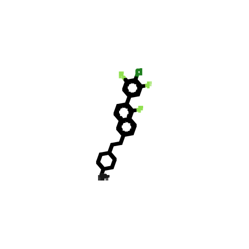 CCCC1CCC(CCc2ccc3c(F)c(-c4cc(F)c(Cl)c(F)c4)ccc3c2)CC1